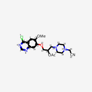 COc1cc2c(Cl)ncnc2cc1OCC(CN1CCN(CC#N)CC1)OC(C)=O